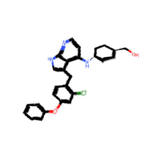 OC[C@H]1CC[C@H](Nc2ccnc3[nH]cc(Cc4ccc(Oc5ccccc5)cc4Cl)c23)CC1